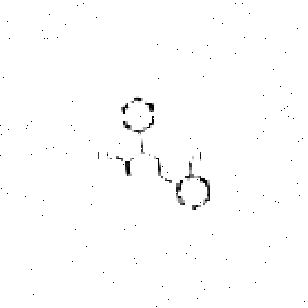 O=C(O)C(CCc1ccccc1S)c1ccccc1